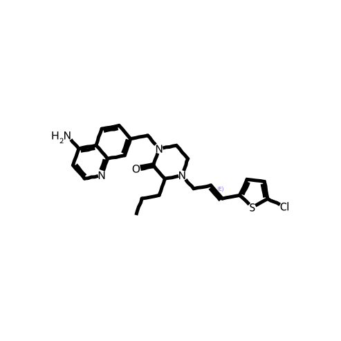 CCCC1C(=O)N(Cc2ccc3c(N)ccnc3c2)CCN1C/C=C/c1ccc(Cl)s1